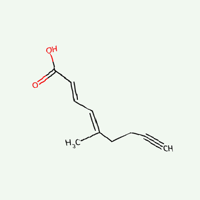 C#CCCC(C)=CC=CC(=O)O